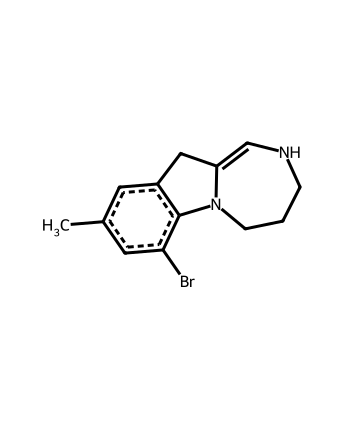 Cc1cc(Br)c2c(c1)CC1=CNCCCN12